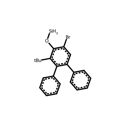 CC(C)(C)c1c(O[SiH3])c(Br)cc(-c2ccccc2)c1-c1ccccc1